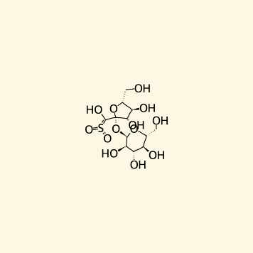 O=S(=O)=C(O)[C@@]1(O[C@H]2O[C@H](CO)[C@@H](O)[C@H](O)[C@H]2O)O[C@H](CO)[C@@H](O)[C@@H]1O